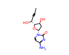 CC#CC(O)[C@H]1O[C@@H](n2ccc(N)nc2=O)C[C@@H]1O